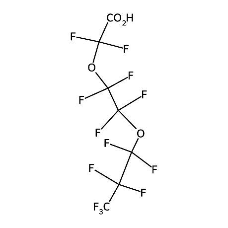 O=C(O)C(F)(F)OC(F)(F)C(F)(F)OC(F)(F)C(F)(F)C(F)(F)F